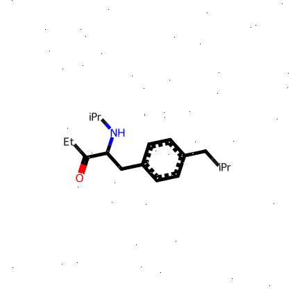 CCC(=O)C(Cc1ccc(CC(C)C)cc1)NC(C)C